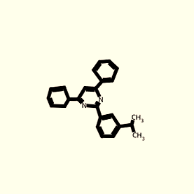 CC(C)c1cccc(-c2nc(-c3ccccc3)cc(C3C=CC=CC3)n2)c1